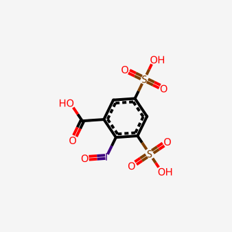 O=Ic1c(C(=O)O)cc(S(=O)(=O)O)cc1S(=O)(=O)O